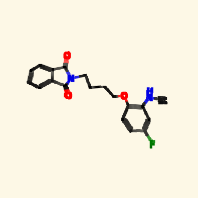 CCNc1cc(F)ccc1OCCCCN1C(=O)c2ccccc2C1=O